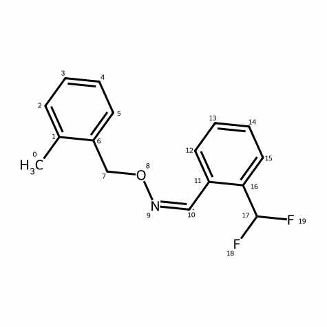 Cc1ccccc1CO/N=[C]\c1ccccc1C(F)F